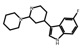 Fc1ccc2[nH]cc(C3CC[N]C(N4CCCCC4)C3)c2c1